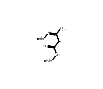 CCCCCC/N=C(/C)CC(=O)OCCCCC